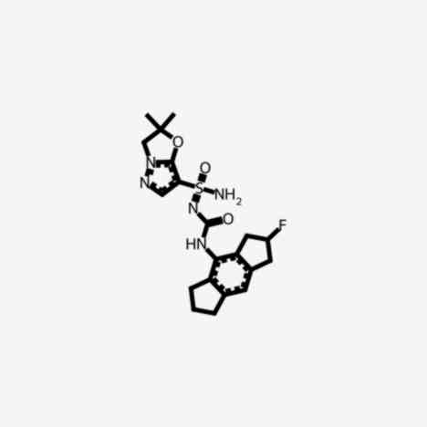 CC1(C)Cn2ncc(S(N)(=O)=NC(=O)Nc3c4c(cc5c3CC(F)C5)CCC4)c2O1